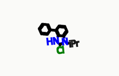 CC(C)N1c2cccc(-c3ccccc3)c2NC1Cl